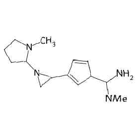 CNC(N)C1C=CC(C2CN2C2CCCN2C)=C1